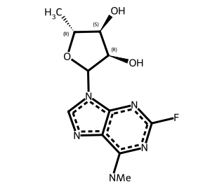 CNc1nc(F)nc2c1ncn2C1O[C@H](C)[C@@H](O)[C@H]1O